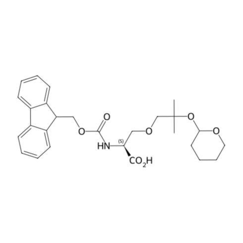 CC(C)(COC[C@H](NC(=O)OCC1c2ccccc2-c2ccccc21)C(=O)O)OC1CCCCO1